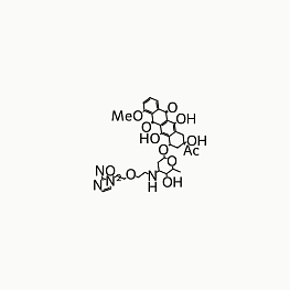 COc1cccc2c1C(=O)c1c(O)c3c(c(O)c1C2=O)CC(O)(C(C)=O)CC3OC1CC(NCCOCCn2ccnc2[N+](=O)[O-])C(O)C(C)O1